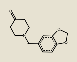 O=C1CCN([CH]c2ccc3c(c2)OCO3)CC1